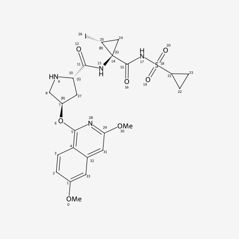 COc1ccc2c(O[C@H]3CN[C@H](C(=O)N[C@]4(C(=O)NS(=O)(=O)C5CC5)C[C@H]4I)C3)nc(OC)cc2c1